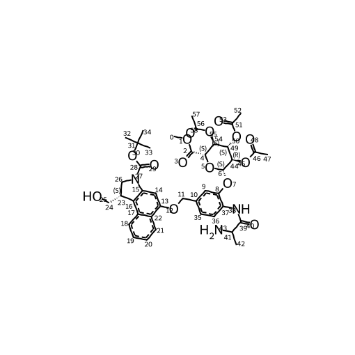 COC(=O)[C@H]1O[C@@H](Oc2cc(COc3cc4c(c5ccccc35)[C@H](CO)CN4C(=O)OC(C)(C)C)ccc2NC(=O)C(C)N)[C@H](OC(C)=O)[C@@H](OC(C)=O)[C@@H]1OC(C)=O